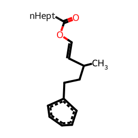 CCCCCCCC(=O)OC=CC(C)CCc1ccccc1